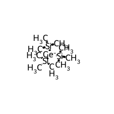 C[Si](C)(C)[Ge-]([Si](C)(C)C)[Si](C)(C)C